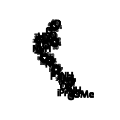 COC(=O)N[C@H](C(=O)N1CCC[C@H]1c1ncc(-c2ccc(-c3ccc4cc(-c5cnc([C@@H]6CCCN6C(=O)[C@H](NC(=O)OC6CCOCC6)c6ccccc6)[nH]5)ccc4n3)cc2F)[nH]1)C(C)C